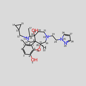 Cc1ccc(O)c2c1C13CCN(CC4CC4)C(C)C1(O)CCN(CCn1cccn1)C[C@@H]3O2